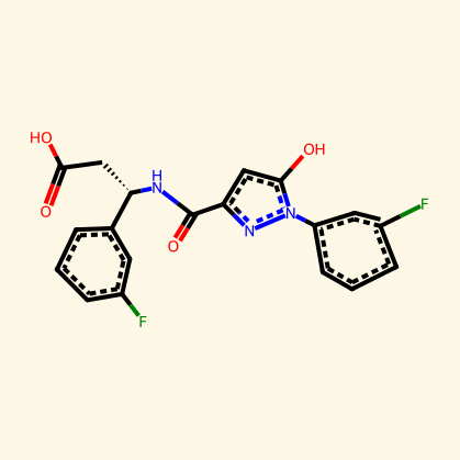 O=C(O)C[C@H](NC(=O)c1cc(O)n(-c2cccc(F)c2)n1)c1cccc(F)c1